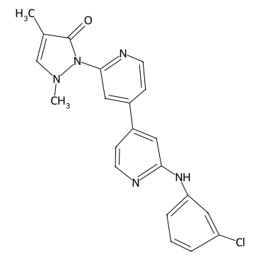 Cc1cn(C)n(-c2cc(-c3ccnc(Nc4cccc(Cl)c4)c3)ccn2)c1=O